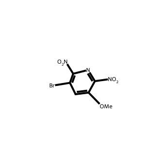 COc1cc(Br)c([N+](=O)[O-])nc1[N+](=O)[O-]